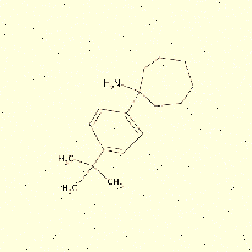 CC(C)(C)c1ccc(C2(N)CCCCCC2)cc1